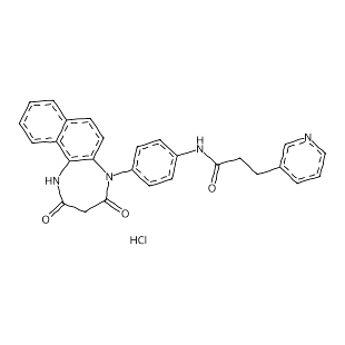 Cl.O=C(CCc1cccnc1)Nc1ccc(N2C(=O)CC(=O)Nc3c2ccc2ccccc32)cc1